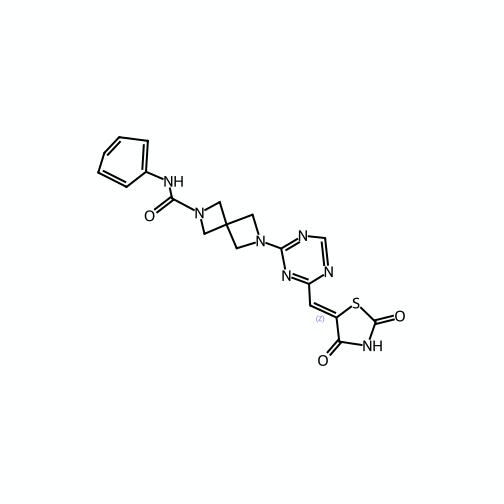 O=C1NC(=O)/C(=C/c2ncnc(N3CC4(CN(C(=O)Nc5ccccc5)C4)C3)n2)S1